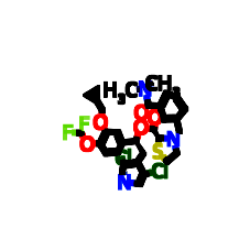 CN(C)C(=O)c1cccc(CN2CCS[C@H]2C(=O)O[C@@H](Cc2c(Cl)cncc2Cl)c2ccc(OC(F)F)c(OCC3CC3)c2)c1